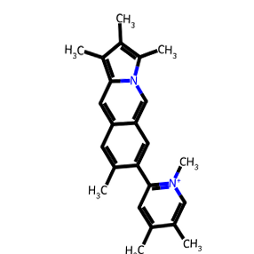 Cc1cc(-c2cc3cn4c(C)c(C)c(C)c4cc3cc2C)[n+](C)cc1C